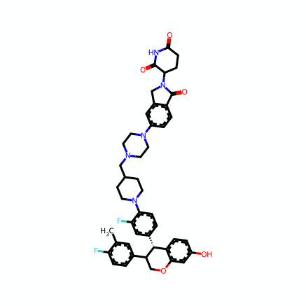 Cc1cc(C2COc3cc(O)ccc3[C@H]2c2ccc(N3CCC(CN4CCN(c5ccc6c(c5)CN(C5CCC(=O)NC5=O)C6=O)CC4)CC3)c(F)c2)ccc1F